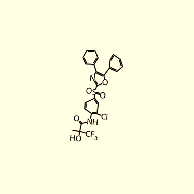 CC(O)(C(=O)Nc1ccc(S(=O)(=O)c2nc(-c3ccccc3)c(-c3ccccc3)o2)cc1Cl)C(F)(F)F